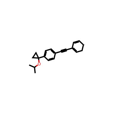 CC(C)OC1(c2ccc(C#CC3=CC[CH]C=C3)cc2)CC1